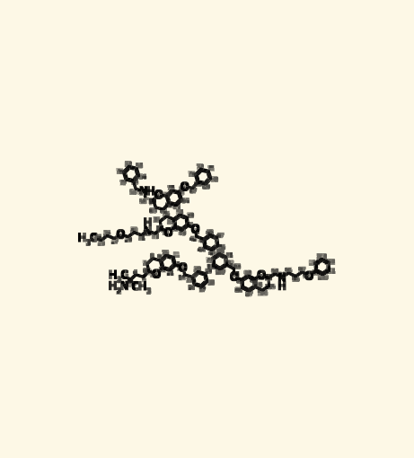 CC(C)(N)CC[C@H]1CCc2ccc(OCc3ccccc3)cc2O1.CCCCOCCCNC[C@H]1CCc2ccc(OCc3ccccc3)cc2O1.c1ccc(CNC[C@H]2CCc3ccc(OCc4ccccc4)cc3O2)cc1.c1ccc(COc2ccc3c(c2)O[C@@H](CNCCCOc2ccccc2)CC3)cc1